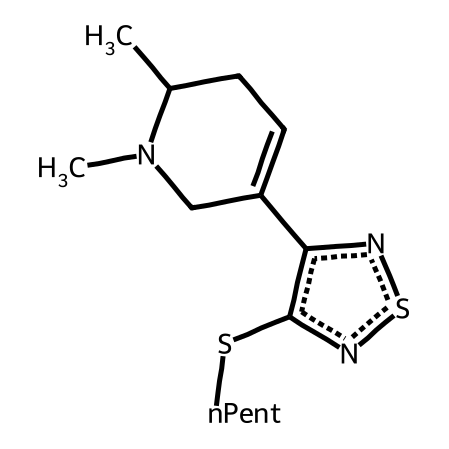 CCCCCSc1nsnc1C1=CCC(C)N(C)C1